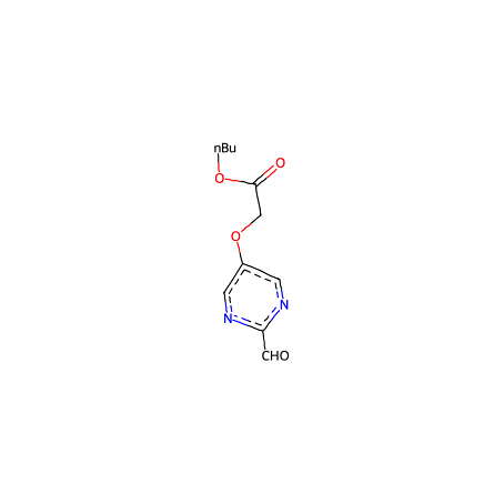 CCCCOC(=O)COc1cnc(C=O)nc1